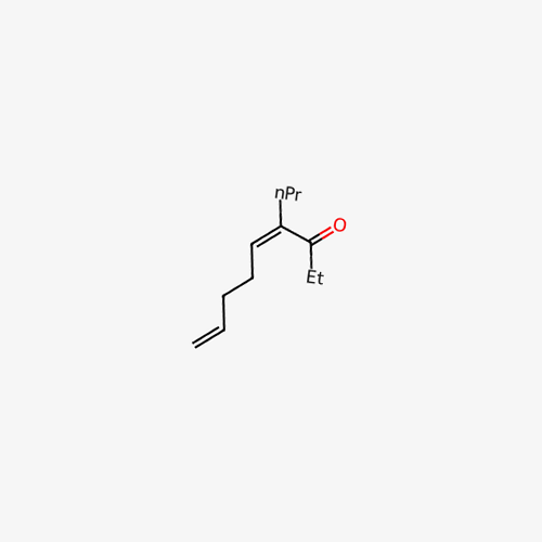 C=CCCC=C(CCC)C(=O)CC